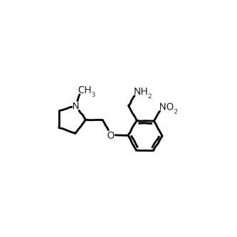 CN1CCCC1COc1cccc([N+](=O)[O-])c1CN